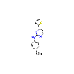 CC(C)(C)c1ccc(Nc2nccc(-c3cccs3)n2)cc1